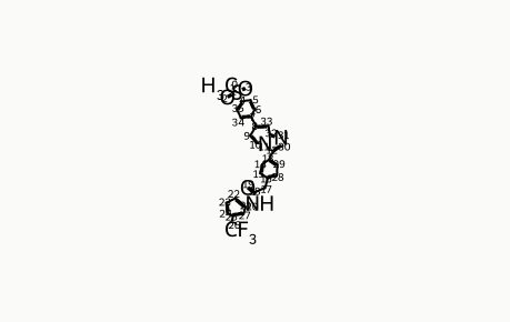 CS(=O)(=O)c1ccc(-c2ccn3c(-c4ccc(CC(=O)Nc5cccc(C(F)(F)F)c5)cc4)cnc3c2)cc1